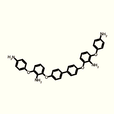 Nc1ccc(Oc2cccc(Oc3ccc(-c4ccc(Oc5cccc(Oc6ccc(N)cc6)c5N)cc4)cc3)c2N)cc1